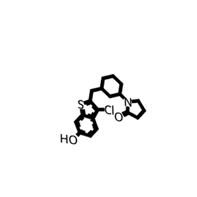 O=C1CCCN1C1CCCC(Cc2sc3cc(O)ccc3c2Cl)C1